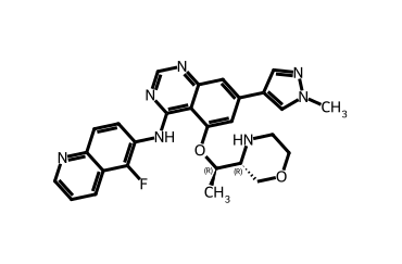 C[C@@H](Oc1cc(-c2cnn(C)c2)cc2ncnc(Nc3ccc4ncccc4c3F)c12)[C@H]1COCCN1